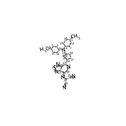 Cc1ccc(N(c2ccc(C)cc2)c2ccc(-c3ncc(N=C(C#N)C#N)c4nsnc34)s2)cc1